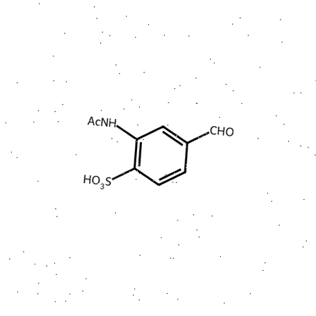 CC(=O)Nc1cc(C=O)ccc1S(=O)(=O)O